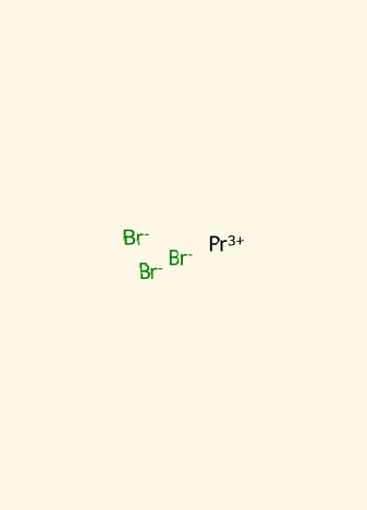 [Br-].[Br-].[Br-].[Pr+3]